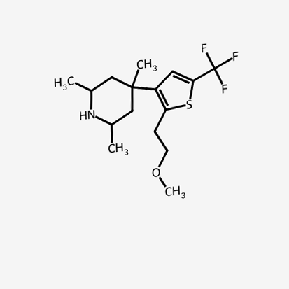 COCCc1sc(C(F)(F)F)cc1C1(C)CC(C)NC(C)C1